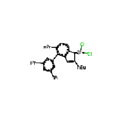 CCCCC1=Cc2c(ccc(CCC)c2-c2cc(C(C)C)cc(C(C)C)c2)[CH]1[Zr]([Cl])[Cl]